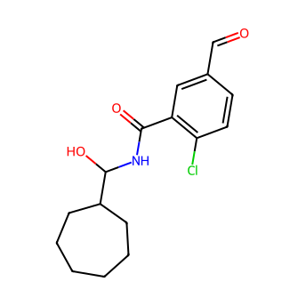 O=Cc1ccc(Cl)c(C(=O)NC(O)C2CCCCCC2)c1